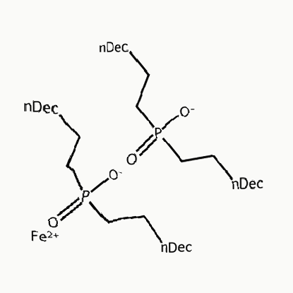 CCCCCCCCCCCCP(=O)([O-])CCCCCCCCCCCC.CCCCCCCCCCCCP(=O)([O-])CCCCCCCCCCCC.[Fe+2]